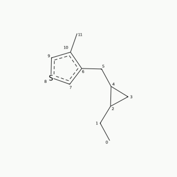 CCC1CC1Cc1cscc1C